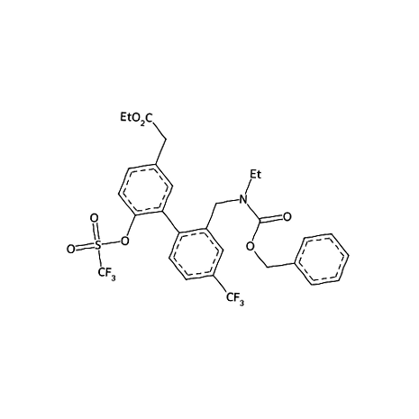 CCOC(=O)Cc1ccc(OS(=O)(=O)C(F)(F)F)c(-c2ccc(C(F)(F)F)cc2CN(CC)C(=O)OCc2ccccc2)c1